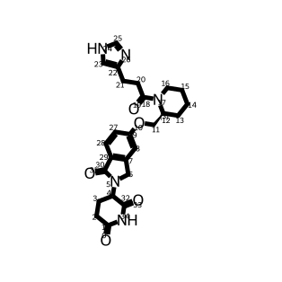 O=C1CCC(N2Cc3cc(OC[C@@H]4CCCCN4C(=O)CCc4c[nH]cn4)ccc3C2=O)C(=O)N1